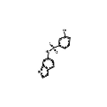 O=S(=O)(Nc1ccc2cc[nH]c2c1)c1cccc(O)c1